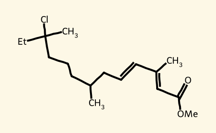 CCC(C)(Cl)CCCC(C)CC=CC(C)=CC(=O)OC